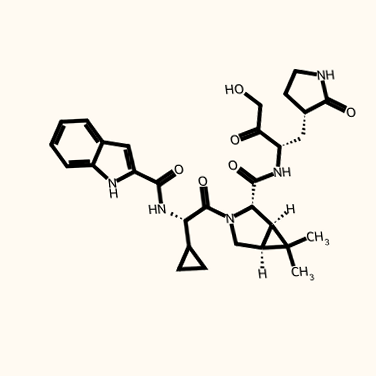 CC1(C)[C@@H]2[C@@H](C(=O)N[C@@H](C[C@@H]3CCNC3=O)C(=O)CO)N(C(=O)[C@@H](NC(=O)c3cc4ccccc4[nH]3)C3CC3)C[C@@H]21